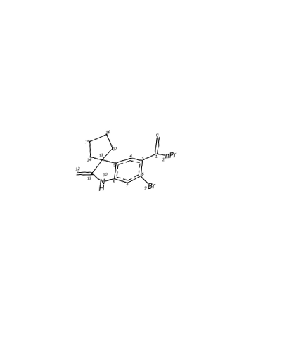 C=C(CCC)c1cc2c(cc1Br)NC(=C)C21CCCC1